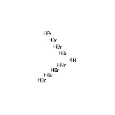 Br.Br.Br.Br.Br.Br.Br.Br.[KH]